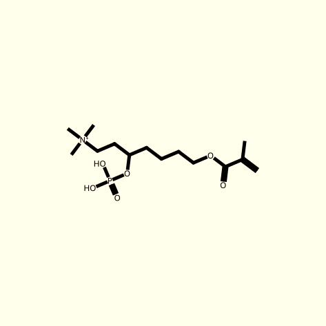 C=C(C)C(=O)OCCCCC(CC[N+](C)(C)C)OP(=O)(O)O